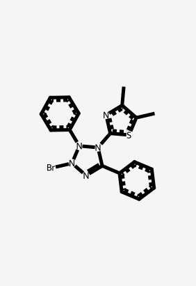 Cc1nc(N2C(c3ccccc3)=NN(Br)N2c2ccccc2)sc1C